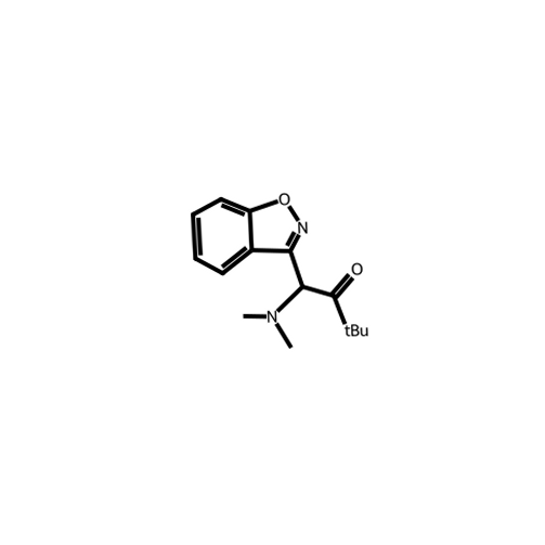 CN(C)C(C(=O)C(C)(C)C)c1noc2ccccc12